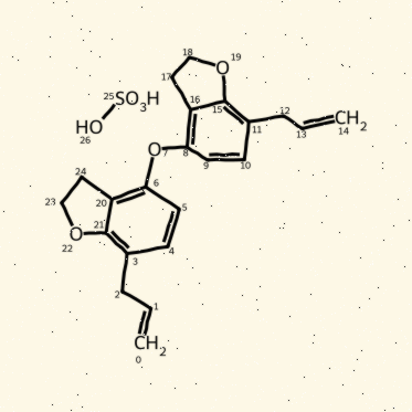 C=CCc1ccc(Oc2ccc(CC=C)c3c2CCO3)c2c1OCC2.O=S(=O)(O)O